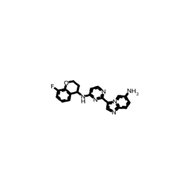 Nc1ccc2ncc(-c3nccc(NC4CCOc5c(F)cccc54)n3)n2c1